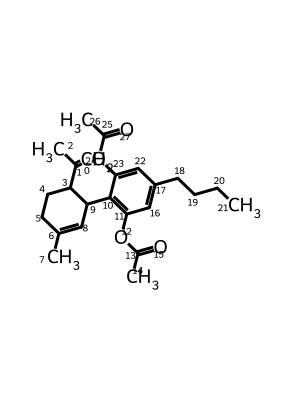 C=C(C)C1CCC(C)=CC1c1c(OC(C)=O)cc(CCCC)cc1OC(C)=O